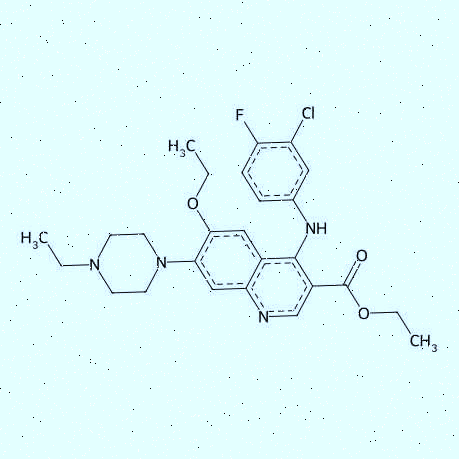 CCOC(=O)c1cnc2cc(N3CCN(CC)CC3)c(OCC)cc2c1Nc1ccc(F)c(Cl)c1